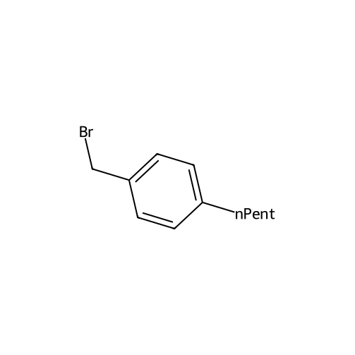 CCCCCc1ccc(CBr)cc1